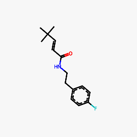 CC(C)(C)/C=C/C(=O)NCCc1ccc(F)cc1